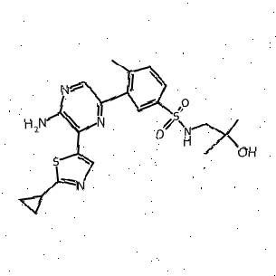 Cc1ccc(S(=O)(=O)NCC(C)(C)O)cc1-c1cnc(N)c(-c2cnc(C3CC3)s2)n1